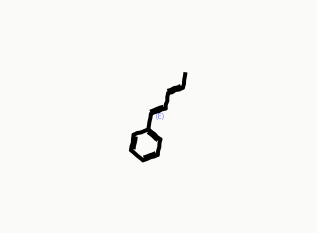 CC=C/C=C/c1ccccc1